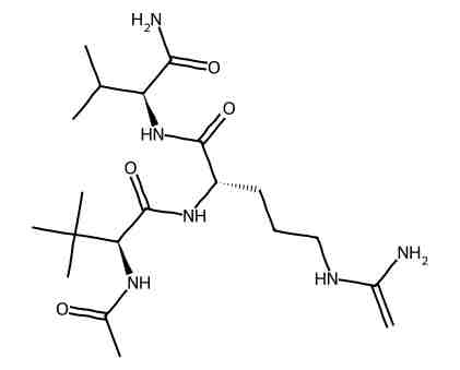 C=C(N)NCCC[C@H](NC(=O)[C@@H](NC(C)=O)C(C)(C)C)C(=O)N[C@H](C(N)=O)C(C)C